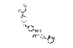 O=C(Nc1ccc(OC2CCN(C(=O)CC3CC3)CC2)cc1)C1CN(c2cccnn2)C1